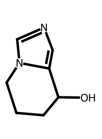 OC1CCCn2cncc21